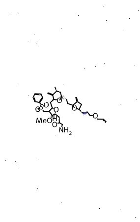 C=CCOC/C=C/C1CC(=C)C(CC[C@H]2CC(C)C(=C)C(CC3OC(CC(O)CN)[C@H](OC)C3CS(=O)(=O)c3ccccc3)O2)O1